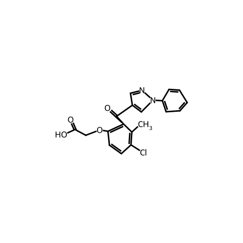 Cc1c(Cl)ccc(OCC(=O)O)c1C(=O)c1cnn(-c2ccccc2)c1